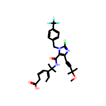 C/C=C(\C=C/CC(=O)O)C(C)(C)NC(=O)c1c(C#CC(C)(C)OC)nc(Cl)n1Cc1ccc(C(F)(F)F)cc1